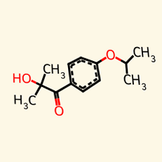 CC(C)Oc1ccc(C(=O)C(C)(C)O)cc1